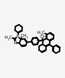 CC1=NC2C=CC(c3ccc(C4(C)C5CCC=CC5=C(C5=CCCC=C5)C5=CC=CC(C)C54)cc3)=CC2(C)N1C1=CCCCC1